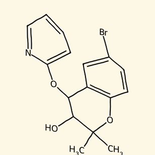 CC1(C)Oc2ccc(Br)cc2C(Oc2ccccn2)C1O